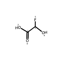 O=C(O)C(O)F